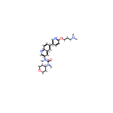 CN(C)CCCOc1ccc(-c2ccc3ncc(N(C)C(=O)N(C)C4CCOCC4)cc3c2)cn1